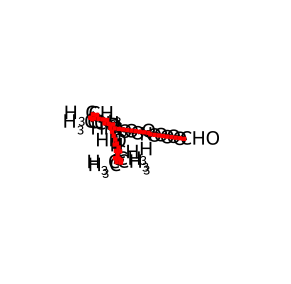 C/C(=C\c1ccc(C(=O)NCCCC[C@@H](NC(=O)c2ccc(/C=C(\C)c3ccc4c(c3)C(C)(C)CCC4(C)C)cc2)C(=O)NCCCOCCOCCOCCCNC(=O)CCOCCOCCOCCOCCOCCC=O)cc1)c1ccc2c(c1)C(C)(C)CCC2(C)C